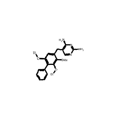 CCOc1cc(Cc2cnc(N)nc2N)c(SC)c(OCC)c1-c1ccccc1